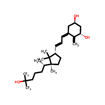 C=C1/C(=C\C=C\[C@@H]2CC[C@@](C)([C@@H](C)CCCC(O)(C(F)(F)F)C(F)(F)F)C2(C)C)C[C@@H](O)C[C@@H]1O